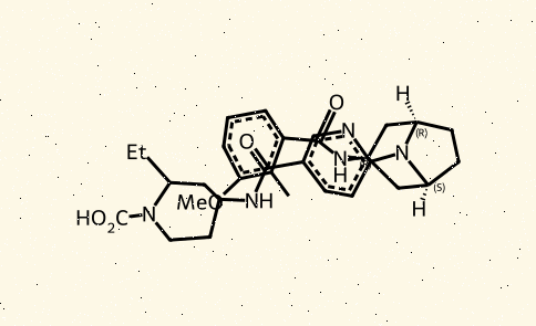 CCC1CC(NC(=O)c2ccc(N3[C@@H]4CC[C@H]3C[C@@H](NC(=O)c3cccc(OC)c3C)C4)nc2)CCN1C(=O)O